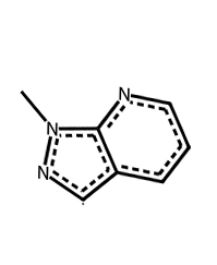 Cn1n[c]c2cccnc21